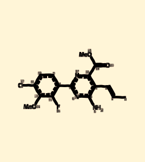 CC=Cc1c(N)nc(-c2ccc(Cl)c(OC)c2F)nc1C(=O)OC